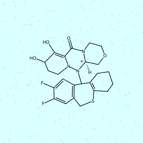 O=C1C2=C(O)C(O)CCN2N(C2C3=C(CCCC3)SCc3cc(F)c(F)cc32)[C@@H]2COCCN12